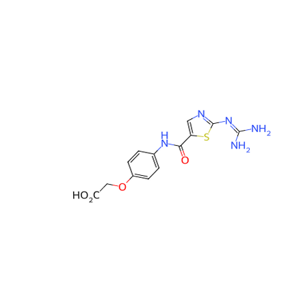 NC(N)=Nc1ncc(C(=O)Nc2ccc(OCC(=O)O)cc2)s1